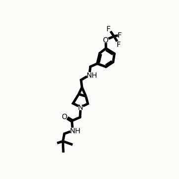 CC(C)(C)CNC(=O)CN1CC2C(CNCc3cccc(OC(F)(F)F)c3)C2C1